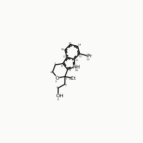 CCC1(CCO)OCCc2c1[nH]c1c(C(C)C)cccc21